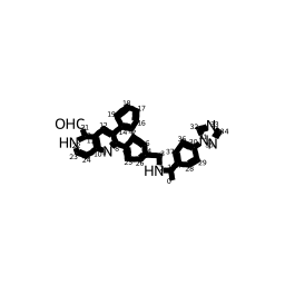 CC(NCc1ccc(-c2nc3c(cc2-c2ccccc2)C(C=O)NC=C3)cc1)c1ccc(-n2cncn2)cc1